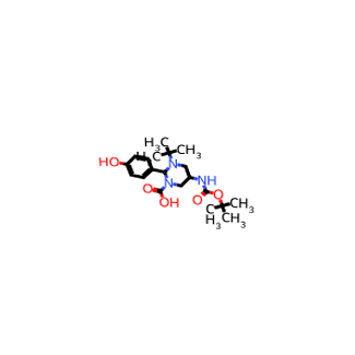 CC(C)(C)OC(=O)NC1CN(C(=O)O)C(c2ccc(O)cc2)N(C(C)(C)C)C1